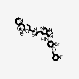 CCC(OC(Cc1ccccn1)=S(=O)=O)c1nc(-c2cc3c(Nc4ccc(OCc5cccc(F)c5)c(Br)c4)ncnc3cn2)cs1